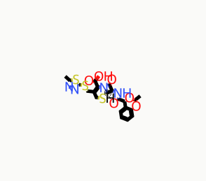 CC(=O)OC(C(=O)NC1C(=O)N2C(C(=O)O)=C(CSc3nnc(C)s3)CS[C@H]12)c1ccccc1